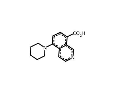 O=C(O)c1ccc(N2CCCCC2)c2ccncc12